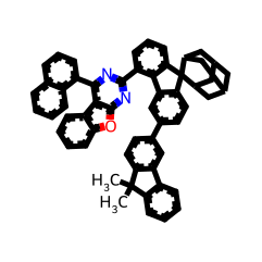 CC1(C)c2ccccc2-c2cc(-c3ccc4c(c3)-c3c(-c5nc(-c6cccc7ccccc67)c6c(n5)oc5ccccc56)cccc3C43C4CC5CC(C4)CC3C5)ccc21